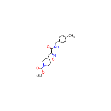 Cc1ccc(CNC(=O)C2=NOC3(CCN(C(=O)OC(C)(C)C)CC3)C2)cc1